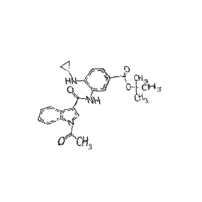 CC(=O)n1cc(C(=O)Nc2cc(C(=O)OC(C)(C)C)ccc2NC2CC2)c2ccccc21